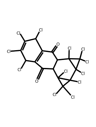 O=C1C2=C(C(=O)C3C1C1(Cl)C(Cl)(Cl)C1(Cl)C1(Cl)C(Cl)(Cl)C31Cl)C(Cl)C(Cl)=C(Cl)C2Cl